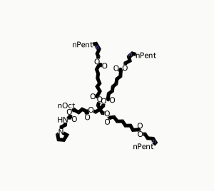 CCCCC/C=C\CCOC(=O)CCCCCCC(=O)OCC(COC(=O)CCCCCCC(=O)OCC/C=C\CCCCC)(COC(=O)CCCCCCC(=O)OCC/C=C\CCCCC)COC(=O)CCC(CCCCCCCC)OC(=O)NCCN1CCCC1